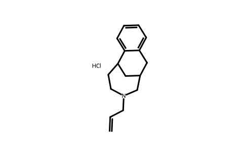 C=CCN1CCC2CC(Cc3ccccc32)C1.Cl